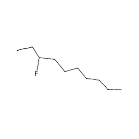 CCCCCCCC(F)CC